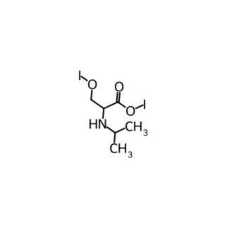 CC(C)NC(COI)C(=O)OI